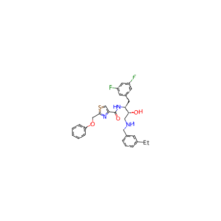 CCc1cccc(CNC[C@H](O)[C@H](Cc2cc(F)cc(F)c2)NC(=O)c2csc(COc3ccccc3)n2)c1